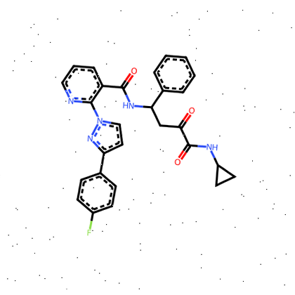 O=C(CC(NC(=O)c1cccnc1-n1ccc(-c2ccc(F)cc2)n1)c1ccccc1)C(=O)NC1CC1